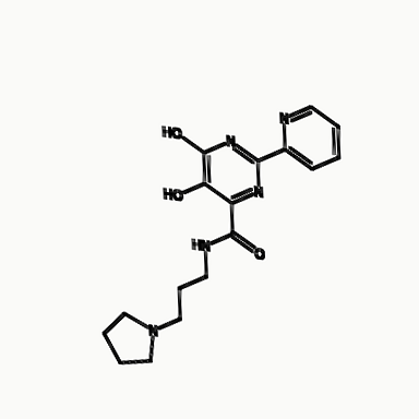 O=C(NCCCN1CCCC1)c1nc(-c2ccccn2)nc(O)c1O